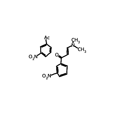 CC(=O)c1cccc([N+](=O)[O-])c1.CN(C)C=CC(=O)c1cccc([N+](=O)[O-])c1